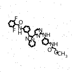 COCC(=O)Nc1cccc(Nc2nccc(-c3c(-c4cccc(NC(=O)c5c(F)cccc5F)c4)nc4ccccn34)n2)c1